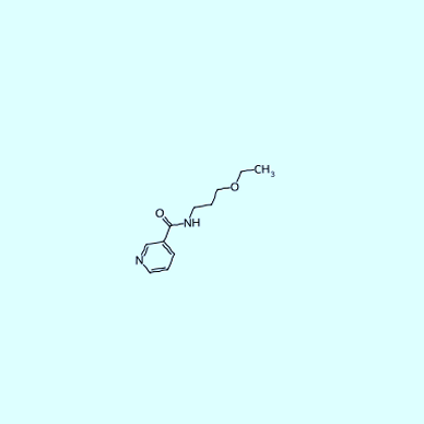 CCOCCCNC(=O)c1cccnc1